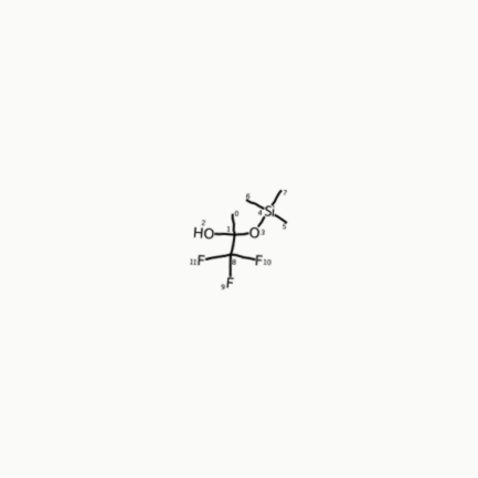 CC(O)(O[Si](C)(C)C)C(F)(F)F